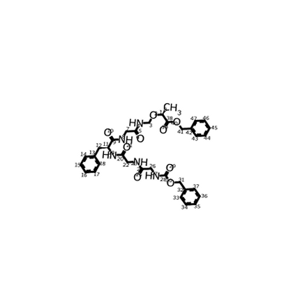 C[C@H](OCNC(=O)CNC(=O)[C@H](Cc1ccccc1)NC(=O)CNC(=O)CNC(=O)OCc1ccccc1)C(=O)OCc1ccccc1